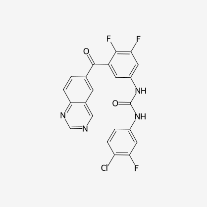 O=C(Nc1ccc(Cl)c(F)c1)Nc1cc(F)c(F)c(C(=O)c2ccc3ncncc3c2)c1